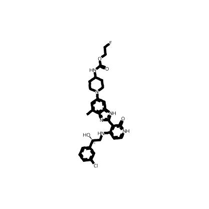 Cc1cc(N2CCC(NC(=O)OCCF)CC2)cc2[nH]c(-c3c(NC[C@@H](O)c4cccc(Cl)c4)cc[nH]c3=O)nc12